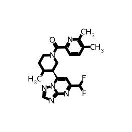 Cc1ccc(C(=O)N2CCC(C)[C@H](c3cc(C(F)F)nc4ncnn34)C2)nc1C